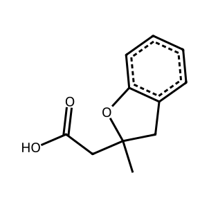 CC1(CC(=O)O)Cc2ccccc2O1